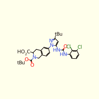 CC(C)(C)OC(=O)N1Cc2ccc(-n3nc(C(C)(C)C)cc3NC(=O)Nc3cccc(Cl)c3Cl)cc2CC1C(=O)O